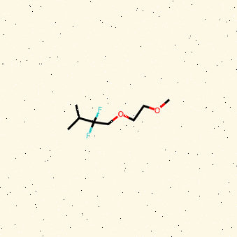 COCCOCC(F)(F)C(C)C